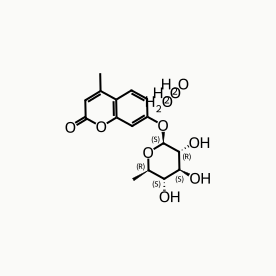 Cc1cc(=O)oc2cc(O[C@@H]3O[C@H](C)[C@@H](O)[C@H](O)[C@H]3O)ccc12.O.O.O